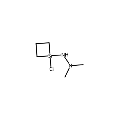 CN(C)N[Si]1(Cl)CCC1